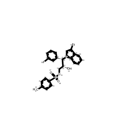 CCc1cn([C@@H](c2cccc(F)c2)[C@H](O)COS(=O)(=O)c2ccc(C)cc2)c2ccccc12